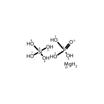 O=P(O)(O)O.O[Si](O)(O)O.[MgH2]